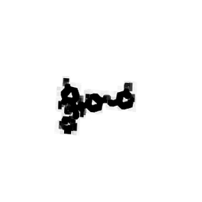 OC(Cn1cnnn1)(c1ccc(F)cc1F)C(F)(F)c1ccc(OCc2ccnc(Cl)c2)cn1